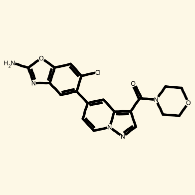 Nc1nc2cc(-c3ccn4ncc(C(=O)N5CCOCC5)c4c3)c(Cl)cc2o1